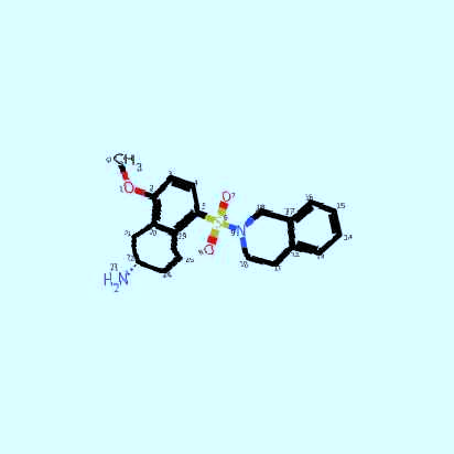 COc1ccc(S(=O)(=O)N2CCc3ccccc3C2)c2c1C[C@@H](N)CC2